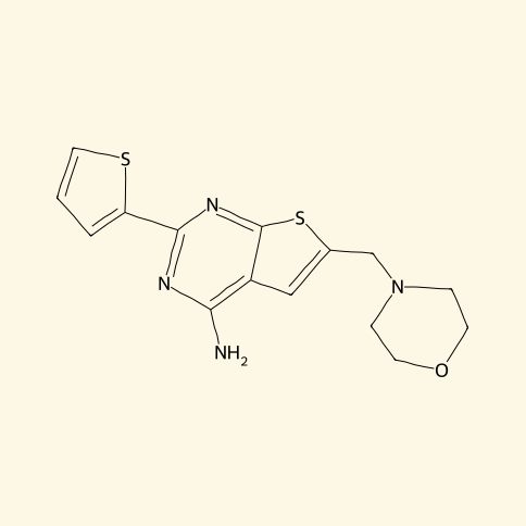 Nc1nc(-c2cccs2)nc2sc(CN3CCOCC3)cc12